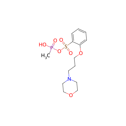 CP(=O)(O)OS(=O)(=O)c1ccccc1OCCCN1CCOCC1